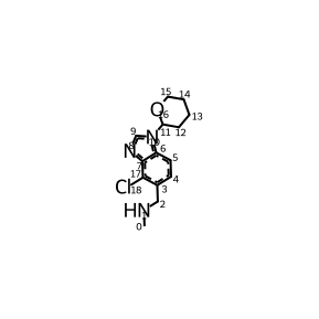 CNCc1ccc2c(ncn2C2CCCCO2)c1Cl